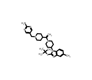 C=C(C1CCN(Cc2cnc(N)nc2)CC1)N1CCC(n2c(SC(C)(C)C)nc3cc(C)ccc32)CC1